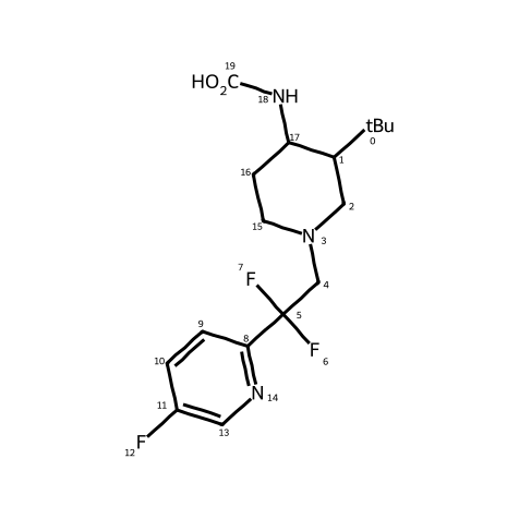 CC(C)(C)C1CN(CC(F)(F)c2ccc(F)cn2)CCC1NC(=O)O